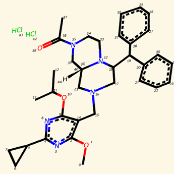 COc1nc(C2CC2)nc(OC(C)C)c1CN1CC(C(c2ccccc2)c2ccccc2)N2CCN(C(C)=O)C[C@H]2C1.Cl.Cl